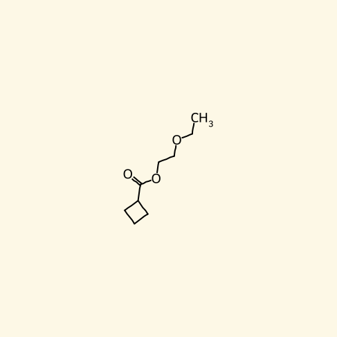 CCOCCOC(=O)C1CCC1